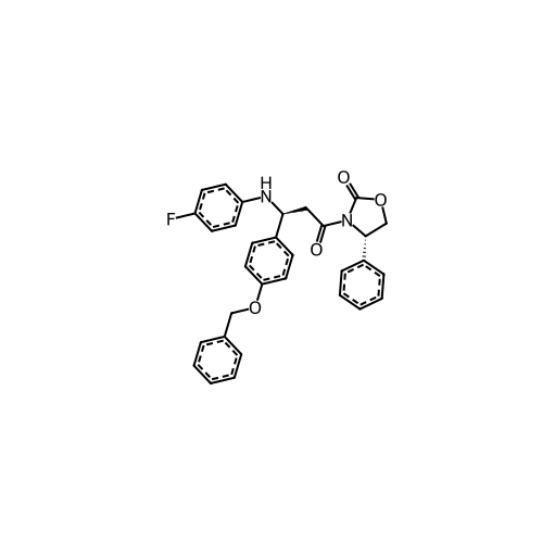 O=C(C[C@H](Nc1ccc(F)cc1)c1ccc(OCc2ccccc2)cc1)N1C(=O)OC[C@@H]1c1ccccc1